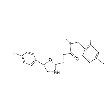 Cc1ccc(CN(C)C(=O)CCC2NCC(c3ccc(F)cc3)O2)c(C)c1